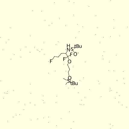 CC(C)(C)[S+]([O-])NC(CCCF)C(F)(F)OCCCO[Si](C)(C)C(C)(C)C